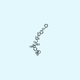 O=C(Cc1csc(NCc2ccc(OCc3ccccc3)cc2)n1)Nc1n[nH]c2ccc(N3CCCS3(=O)=O)cc12